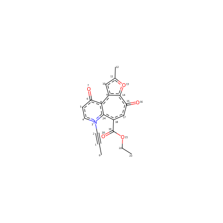 CC#Cn1ccc(=O)c2c3cc(C)oc3c(=O)cc(C(=O)OCC)c21